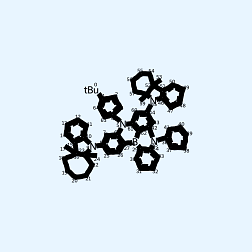 CC(C)(C)c1ccc(N2c3cc(N4c5ccccc5C5(C)CCCCCC45C)ccc3B3c4ccccc4N(c4ccccc4)c4cc(N5c6ccccc6C6(C)CCCCC56C)cc2c43)cc1